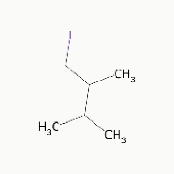 CC(C)C(C)CI